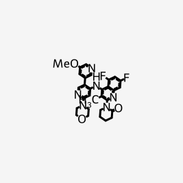 COc1cncc(-c2cnc(N3CCOCC3)cc2Nc2c(C)c(N3CCCCC3=O)nc3cc(F)cc(F)c23)c1